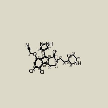 N#CCOc1cc(Cl)c(Cl)c2c1c(-c1cn[nH]c1)c1n2CCN(CCC2CNCCO2)C1=O